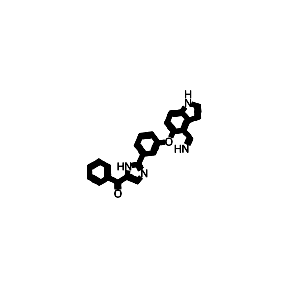 N=Cc1c(Oc2cccc(-c3ncc(C(=O)c4ccccc4)[nH]3)c2)ccc2[nH]ccc12